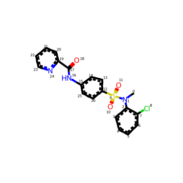 CN(c1ccccc1Cl)S(=O)(=O)c1ccc(NC(=O)c2ccccn2)cc1